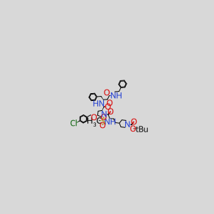 CC(C)(C)OC(=O)N1CCC(CC[C@@H](NS(C)(=O)=O)C(=O)N2C[C@H](OCc3ccc(Cl)cc3)C[C@H]2C(=O)N[C@@H](Cc2ccccc2)C(=O)C(=O)NCCc2ccccc2)CC1